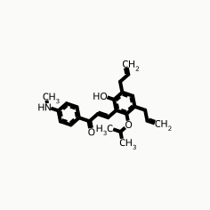 C=CCc1cc(CC=C)c(OC(C)C)c(C=CC(=O)c2ccc(NC)cc2)c1O